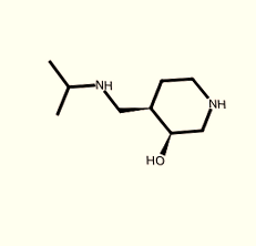 CC(C)NC[C@H]1CCNC[C@H]1O